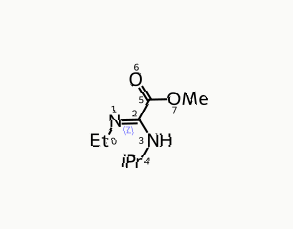 CC/N=C(\NC(C)C)C(=O)OC